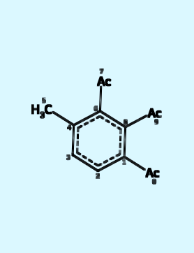 CC(=O)c1ccc(C)c(C(C)=O)c1C(C)=O